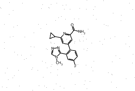 Cn1cnnc1-c1cc(F)ccc1-c1cc(C(N)=O)nc(C2CC2)c1